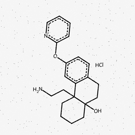 Cl.NCCC12CCCCC1(O)CCc1ccc(Oc3ccccn3)cc12